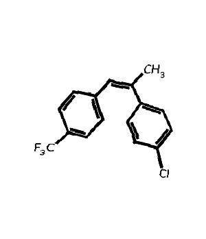 CC(=Cc1ccc(C(F)(F)F)cc1)c1ccc(Cl)cc1